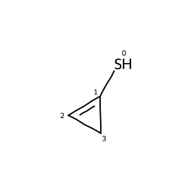 SC1=CC1